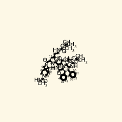 CNC(=O)N1CCC2(CN(C(=O)[C@@H](CCCCNC(=O)OC(C)(C)C)NC(O)C(CC(C)C)NC(=O)[C@@H](Cc3ccccc3)NC(=O)[C@@H](Cc3ccccc3)NC(=O)OC(C)(C)C)C2)C(F)(F)C1